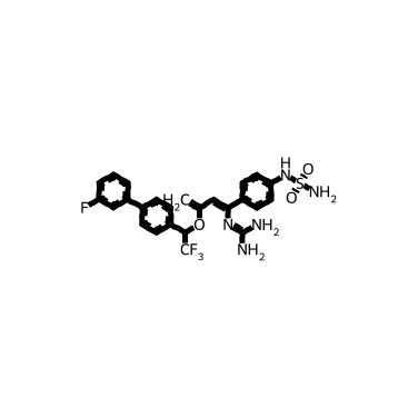 C=C(/C=C(\N=C(N)N)c1ccc(NS(N)(=O)=O)cc1)OC(c1ccc(-c2cccc(F)c2)cc1)C(F)(F)F